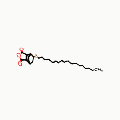 CCCCCCCCCCCCCCCCCCSC1CC2CCC1C1C(=O)OC(=O)C21